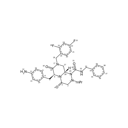 CCCN1CC(=O)N2[C@@H](Cc3ccc(N)cc3)C(=O)N(Cc3ccc(F)cc3F)C[C@@H]2N1C(=O)NCc1ccccc1